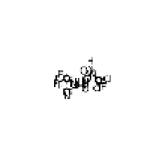 O=C(c1cc(-c2cccnc2)n(-c2ccc(F)c(C(F)(F)F)c2)n1)N1CCC2(CC1)C(=O)NCN2c1cc(Cl)c(F)c(Cl)c1